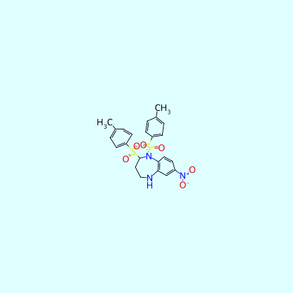 Cc1ccc(S(=O)(=O)C2CCNc3cc([N+](=O)[O-])ccc3N2S(=O)(=O)c2ccc(C)cc2)cc1